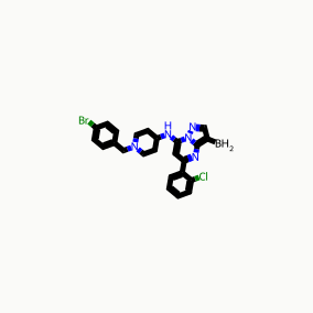 Bc1cnn2c(NC3CCN(Cc4ccc(Br)cc4)CC3)cc(-c3ccccc3Cl)nc12